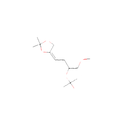 CO[C@H](O)C(C/C=C1\COC(C)(C)O1)OC(C)(C)O